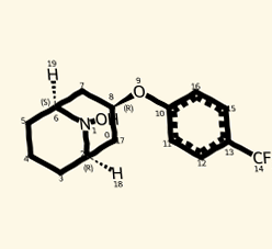 ON1[C@@H]2CCC[C@H]1C[C@@H](Oc1ccc(C(F)(F)F)cc1)C2